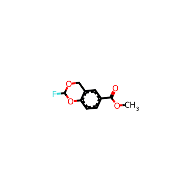 COC(=O)c1ccc2c(c1)COC(F)O2